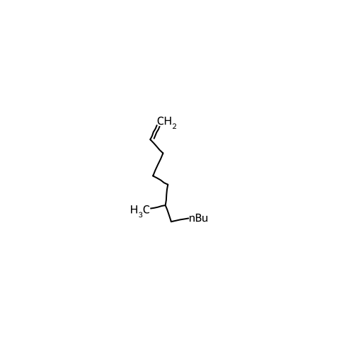 C=CCCCC(C)CCCCC